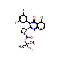 CC(C)(C)OC(=O)N1CC[C@H]1c1nc2cccc(Cl)c2c(=O)n1-c1cc(F)cc(F)c1